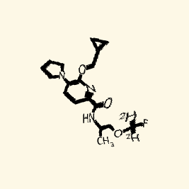 [2H]C([2H])(F)OCC(C)NC(=O)c1ccc(N2CCCC2)c(OCC2CC2)n1